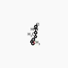 Cc1cc(-c2nc3cc(Cl)ccc3[nH]2)ccc1C1CCC(N2CCC3(C=Cc4ccccc43)[C@@H](C)C2)C1